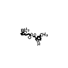 Bc1ccc(/C=C/C(=O)OCC(=O)c2c[nH]c3ccc(C)cc23)o1